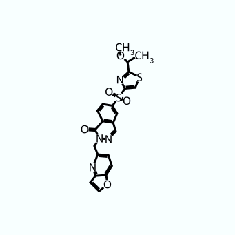 COC(C)c1nc(S(=O)(=O)c2ccc3c(=O)n(Cc4ccc5occc5n4)ncc3c2)cs1